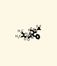 CCCC(CC)C(=O)NC(=O)c1nc(-c2ccccc2)c(-c2cn(C3CC3(F)F)nc2C(F)(F)F)n1C